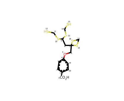 O=C(O)c1ccc(OCC2(CC(SCS)SCS)SCS2)cc1